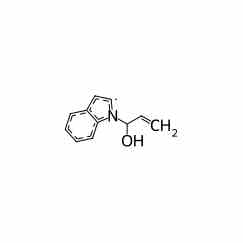 C=CC(O)n1[c]cc2ccccc21